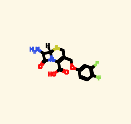 NC1C(=O)N2C(C(=O)O)=C(COc3ccc(F)c(F)c3)CS[C@H]12